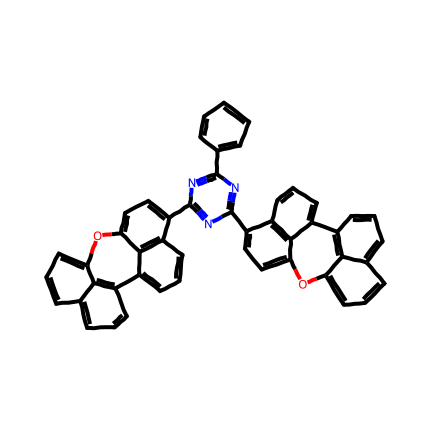 c1ccc(-c2nc(-c3ccc4oc5cccc6cccc(c7cccc3c47)c65)nc(-c3ccc4oc5cccc6cccc(c7cccc3c47)c65)n2)cc1